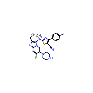 CCc1nc2cc(F)c(N3CCNCC3)cn2c1N(C)c1nc(-c2ccc(I)cc2)c(C#N)s1